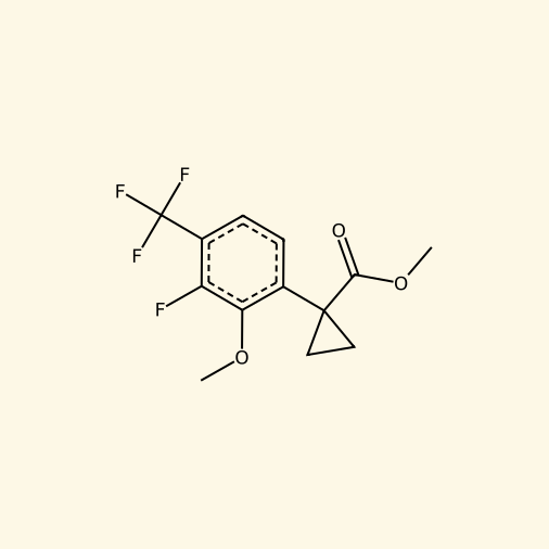 COC(=O)C1(c2ccc(C(F)(F)F)c(F)c2OC)CC1